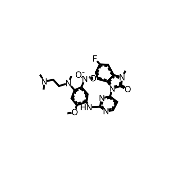 COc1cc(N(C)CCN(C)C)c([N+](=O)[O-])cc1Nc1nccc(-n2c(=O)n(C)c3cc(F)ccc32)n1